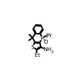 CCc1sc2c(c1N)P(=O)(C(C)C)c1ccccc1C2(C)C